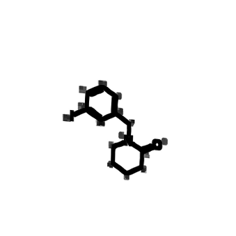 O=C1CCCCN1Cc1cccc(I)c1